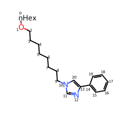 CCCCCCOCCCCCCCCn1cnc(-c2ccccc2)c1